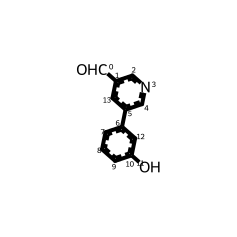 O=Cc1cncc(-c2cccc(O)c2)c1